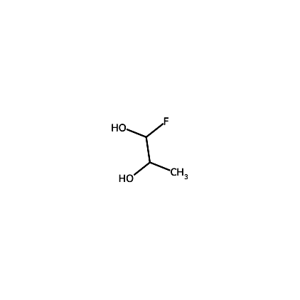 CC(O)C(O)F